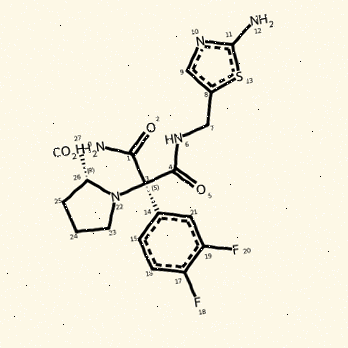 NC(=O)[C@](C(=O)NCc1cnc(N)s1)(c1ccc(F)c(F)c1)N1CCC[C@@H]1C(=O)O